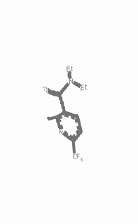 CCN(CC)C(=O)c1ccc(C(F)(F)F)nc1C